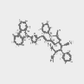 CC1=C/C(=C(\C#N)C(=C(C#N)C#N)c2ccccc2)C=C(/C=C/c2ccc(-n3c4ccccc4c4ccccc43)s2)N1c1ccccc1